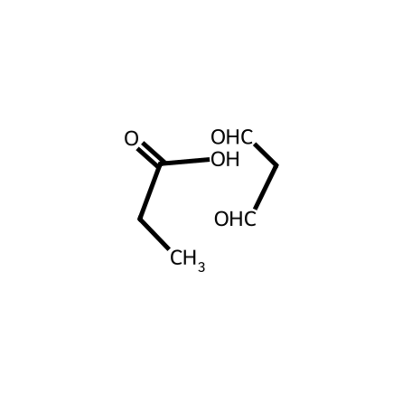 CCC(=O)O.O=CCC=O